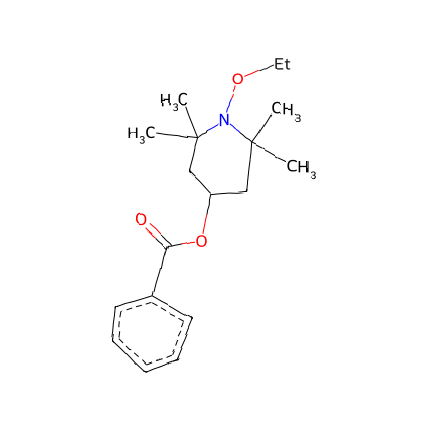 CCON1C(C)(C)CC(OC(=O)c2ccccc2)CC1(C)C